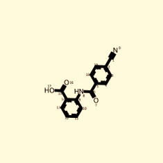 N#Cc1ccc(C(=O)Nc2ccccc2C(=O)O)cc1